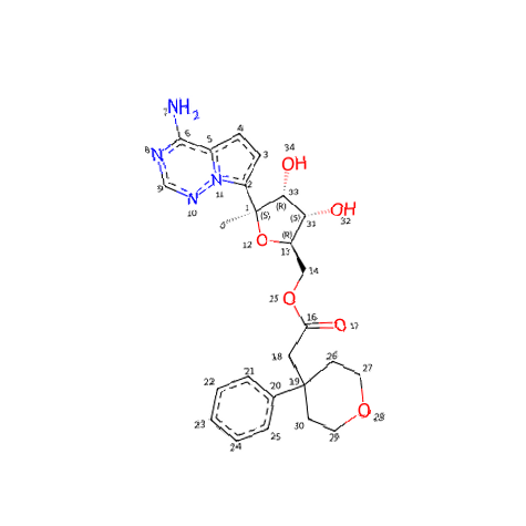 C[C@@]1(c2ccc3c(N)ncnn23)O[C@H](COC(=O)CC2(c3ccccc3)CCOCC2)[C@@H](O)[C@H]1O